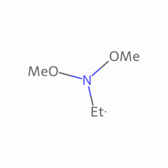 C[CH]N(OC)OC